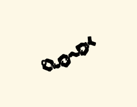 CC(C)N1CCN(CCN2CCN(CN3CCOCC3)CC2)CC1